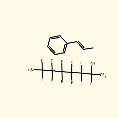 CC=Cc1ccccc1.FC(F)(F)C(F)(F)C(F)(F)C(F)(F)C(F)(F)C(F)(F)C(F)(S)C(F)(F)F